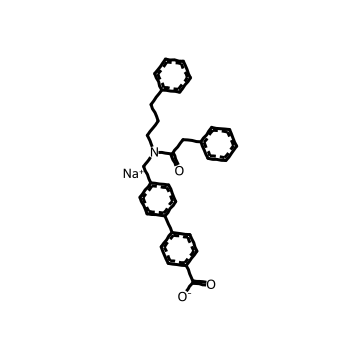 O=C([O-])c1ccc(-c2ccc(CN(CCCc3ccccc3)C(=O)Cc3ccccc3)cc2)cc1.[Na+]